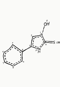 On1cc(-c2ccccc2)[nH]c1=S